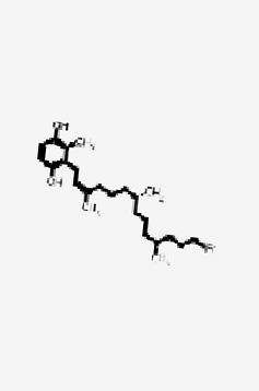 CC(=CCc1c(O)ccc(O)c1C)CCC[C@H](C)CCC[C@H](C)CCCC(C)C